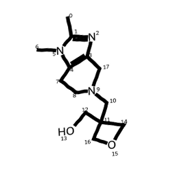 Cc1nc2c(n1C)CCN(CC1(CO)COC1)C2